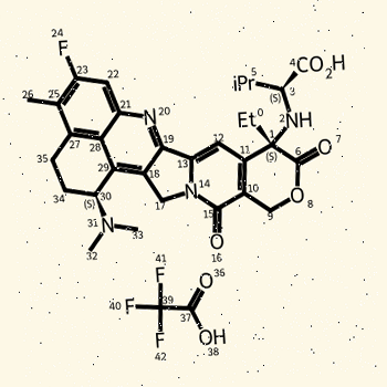 CC[C@@]1(N[C@H](C(=O)O)C(C)C)C(=O)OCc2c1cc1n(c2=O)Cc2c-1nc1cc(F)c(C)c3c1c2[C@@H](N(C)C)CC3.O=C(O)C(F)(F)F